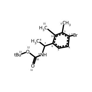 Cc1c(Br)ccc(C(C)NC(=O)OC(C)(C)C)c1C